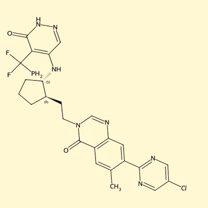 Cc1cc2c(=O)n(CC[C@H]3CCC[C@@H]3Nc3cn[nH]c(=O)c3C(F)(F)P)cnc2cc1-c1ncc(Cl)cn1